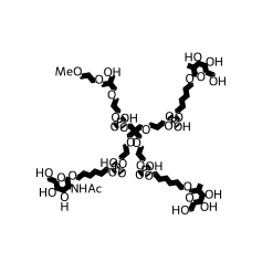 COCCCOCC(CO)COCCCOP(=O)(O)OCC(COCCCOP(=O)(O)OCCCCCCO[C@@H]1OC(CO)[C@H](O)[C@H](O)C1C)(COCCCOP(=O)(O)OCCCCCCO[C@@H]1OC(CO)[C@H](O)[C@H](O)C1C)COCCCOP(=O)(O)OCCCCCCO[C@@H]1OC(CO)[C@H](O)[C@H](O)C1NC(C)=O